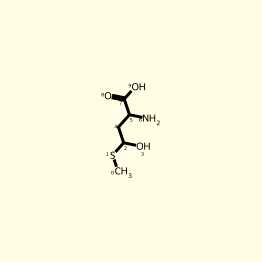 CSC(O)CC(N)C(=O)O